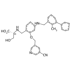 Cc1c(CNc2ccc(CN[C@H](CO)C(=O)O)c(OCc3cncc(C#N)c3)c2)cccc1-c1ccccc1